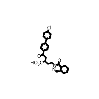 O=C(CC(CCn1ncc2ccccc2c1=O)C(=O)O)c1ccc(-c2ccc(Cl)cc2)cc1